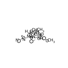 COc1ccc(S(=O)(=O)N(CC(C)C)C[C@H](O)[C@H](Cc2ccccc2)NC(=O)[C@@H](N2CCN(Cc3csc(-c4cccnc4)n3)C2=O)C(C)(C)C)cc1